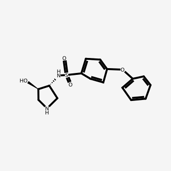 O=S(=O)(N[C@@H]1CNC[C@H]1O)c1ccc(Oc2ccccc2)cc1